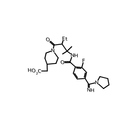 CCC(C(=O)N1CCC(CC(=O)O)CC1)C(C)(C)NC(=O)c1ccc(C(=N)N2CCCC2)cc1F